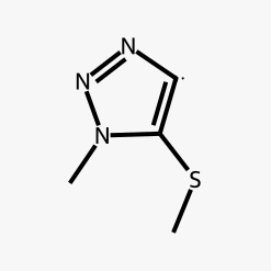 CSc1[c]nnn1C